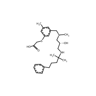 Cc1cc(CN(C)C[C@H](O)CNC(C)(C)CCCc2ccccc2)cc(SCC(=O)O)c1